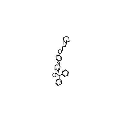 O=C(C(c1ccccc1)c1ccccc1)N1CCN(c2ccc(OCCCN3CCCCC3)cc2)CC1